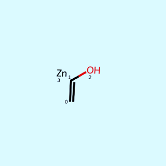 C=CO.[Zn]